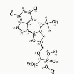 CCOC(=O)C(OC[C@@H]1CC(OC(C)(C)O)[C@H](n2cnc3c(Cl)nc(Cl)nc32)O1)P(=O)(OCC)OCC